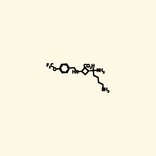 BCCCCC(N)(C(=O)O)[C@H]1C[C@@H](NCc2ccc(OC(F)(F)F)cc2)C1